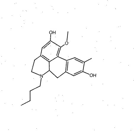 CCCCN1CCc2cc(O)c(OC)c3c2C1Cc1cc(O)c(C)cc1-3